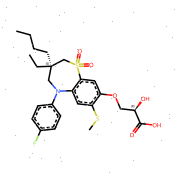 CCCC[C@@]1(CC)CN(c2ccc(F)cc2)c2cc(SC)c(OC[C@@H](O)C(=O)O)cc2S(=O)(=O)C1